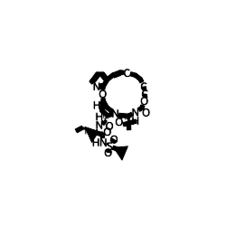 CC[C@@H]1C[C@]1(NC(=O)[C@@H]1C[C@@H]2CN1C(=O)[C@H](C(C)(C)C)NC(=O)OCCCCCC=Cc1cccnc1O2)C(=O)NS(=O)(=O)C1CC1